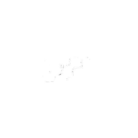 CO[C@H]1CCC[C@@H]1c1ccc2cc(C=O)ccc2n1